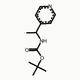 [CH2]C(NC(=O)OC(C)(C)C)c1ccncc1